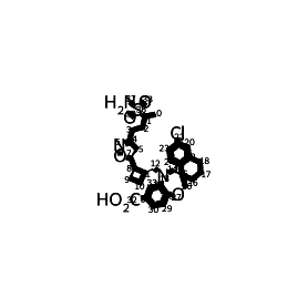 CC(CCC1=NO[C@H]([C@@H]2CC[C@H]2CN2C[C@@]3(CCCc4cc(Cl)ccc43)COc3ccc(C(=O)O)cc32)C1)S(N)(=O)=O